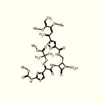 C=C(/C=C(OCCCC)\C(=C/C)OCCCC)c1cc(C(=O)NC[C@@H]2[C@H](NC(=O)/C(=N\OC(C)(C)C(=O)OC(C)(C)C)c3csc(NC(=O)OC(C)(C)C)n3)C(=O)N2S(=O)(=O)O)on1